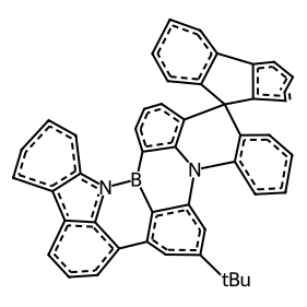 CC(C)(C)c1cc2c3c(c1)N1c4ccccc4C4(c5ccccc5-c5ccccc54)c4cccc(c41)B3n1c3ccccc3c3cccc-2c31